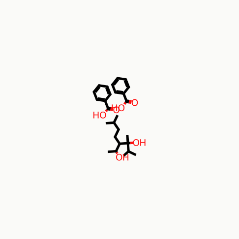 CC(C)CCC(C(C)O)C(C)(O)C(C)C.O=C(O)c1ccccc1.O=C(O)c1ccccc1